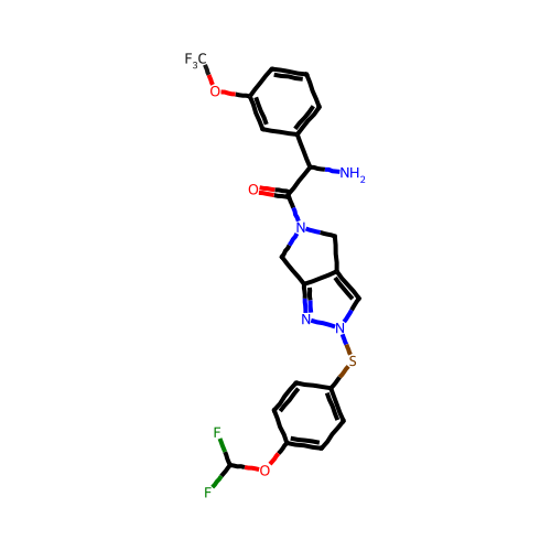 NC(C(=O)N1Cc2cn(Sc3ccc(OC(F)F)cc3)nc2C1)c1cccc(OC(F)(F)F)c1